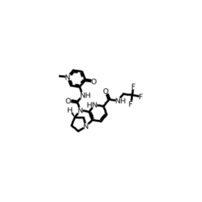 Cn1ccc(=O)c(NC(=O)N2C3=C(C=CC(C(=O)NCC(F)(F)F)N3)N3CC[C@H]2C3)c1